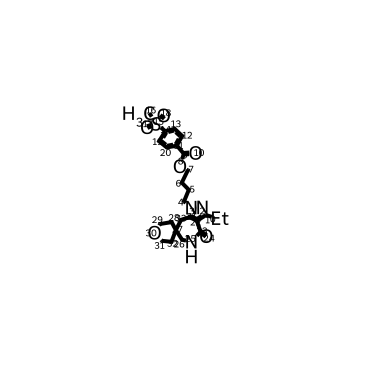 CCc1nn(CCCCOC(=O)c2ccc(S(C)(=O)=O)cc2)c2c1C(=O)NCC1(CCOCC1)C2